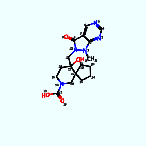 Cn1c2ncncc2c(=O)n1CC1(O)CCN(C(=O)O)CC12CCCC2